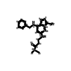 CC(C)c1nnc2c(NCc3ccccc3)cc(NCCC(=O)N(C)C)nn12